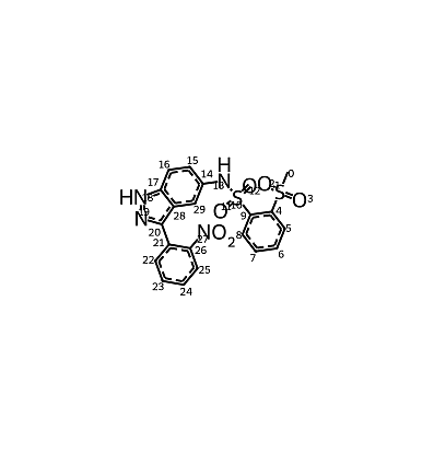 CS(=O)(=O)c1ccccc1S(=O)(=O)Nc1ccc2[nH]nc(-c3ccccc3[N+](=O)[O-])c2c1